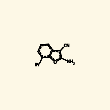 CC(C)c1cccc2c(C#N)c(N)oc12